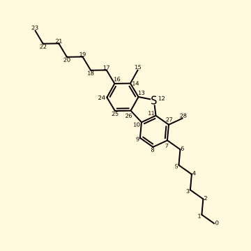 CCCCCCCc1ccc2c(sc3c(C)c(CCCCCCC)ccc32)c1C